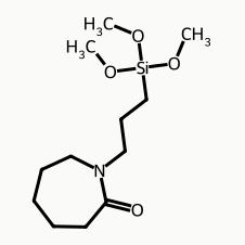 CO[Si](CCCN1CCCCCC1=O)(OC)OC